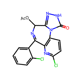 CC(=O)OC1N=C(c2ccccc2Cl)c2nc(Cl)ccc2-n2c1n[nH]c2=O